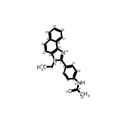 CCn1c(-c2ccc(NC(C)=O)cc2)nc2c3ccccc3ccc21